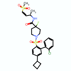 C[C@H](/C=C\S(C)(=O)=O)NC(=O)C1(F)CCN(S(=O)(=O)c2ccc(C3CCC3)cc2-c2ccccc2Cl)CC1